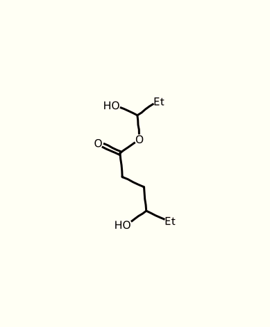 CCC(O)CCC(=O)OC(O)CC